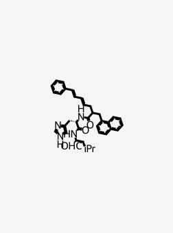 CC(C)C[C@@H](C=O)NC(=O)[C@H](Cc1c[nH]cn1)NC(=O)C(CC=CC=Cc1ccccc1)Cc1cccc2ccccc12